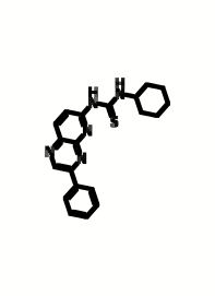 S=C(Nc1ccc2ncc(-c3ccccc3)nc2n1)NC1CCCCC1